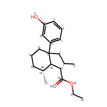 CCCC1(c2cccc(O)c2)CCC[C@@H](C)C1CC(=O)OCC